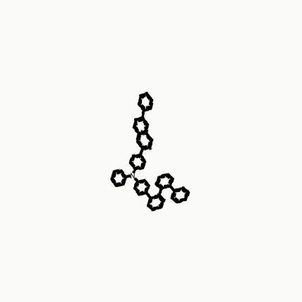 c1ccc(-c2ccc3cc(-c4ccc(N(c5ccccc5)c5ccc(-c6ccccc6-c6ccccc6-c6ccccc6)cc5)cc4)ccc3c2)cc1